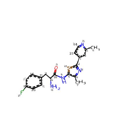 Cc1cc(-c2nc(C)c(NC(=O)[C@@H](N)Cc3ccc(F)cc3)s2)ccn1